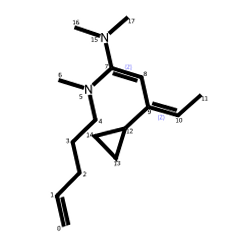 C=CCCCN(C)/C(=C\C(=C/C)C1CC1)N(C)C